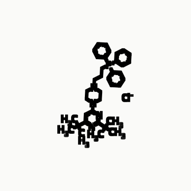 CC(C)(C)c1cc(N2CCN(CCC[P+](c3ccccc3)(c3ccccc3)c3ccccc3)CC2)nc(C(C)(C)C)n1.[Cl-]